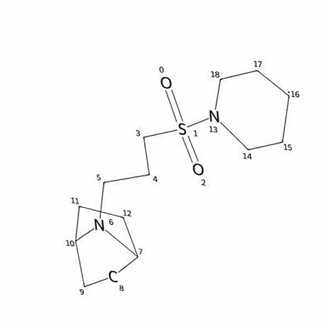 O=S(=O)(CCCN1C2CCC1CC2)N1CC[CH]CC1